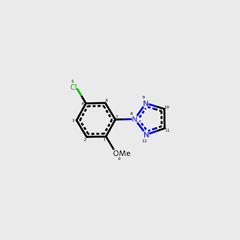 COc1ccc(Cl)cc1-n1nccn1